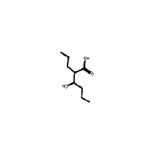 CCCC(O)C(CCC)C(=O)O